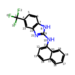 FC(F)(F)c1ccc2[nH]c(Nc3cccc4ccccc34)nc2c1